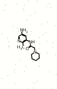 Cc1ncc(N)cc1NC(=O)CN1CCCCC1